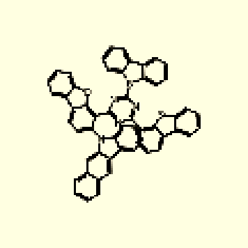 c1ccc2cc3c(cc2c1)c1ccccc1n3-c1ccc2c(oc3ccccc32)c1-c1nc(-c2cccc3c2sc2ccccc23)nc(-n2c3ccccc3c3ccccc32)n1